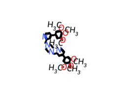 COc1cc(-c2ccnc(CN3CCN(Cc4cc(-c5cc(OC)c(OC)c(OC)c5)ccn4)CC3)c2)cc(OC)c1OC